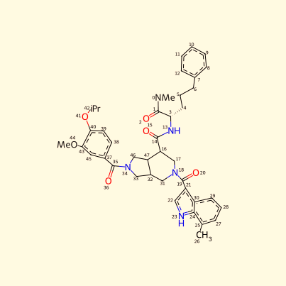 CNC(=O)[C@H](CCCc1ccccc1)NC(=O)C1CN(C(=O)c2c[nH]c3c(C)cccc23)CC2CN(C(=O)c3ccc(OC(C)C)c(OC)c3)CC21